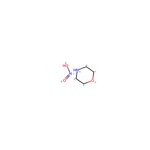 C1COCCN1.O=NO